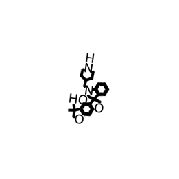 CC1(C)COc2cc3c(cc21)C1(CO3)c2ccccc2N(CC2CCNCC2)C1O